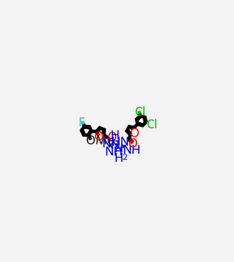 COc1ccc(F)cc1-c1ccc(C(=O)N=C(N)NNC(=N)NC(=O)c2ccc(-c3cc(Cl)cc(Cl)c3)o2)o1